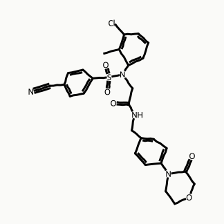 Cc1c(Cl)cccc1N(CC(=O)NCc1ccc(N2CCOCC2=O)cc1)S(=O)(=O)c1ccc(C#N)cc1